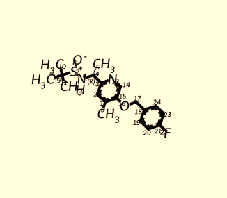 Cc1cc([C@@H](C)N[S+]([O-])C(C)(C)C)ncc1OCc1ccc(F)cc1